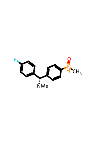 CN[C@H](c1ccc(F)cc1)c1ccc([PH](C)=O)cc1